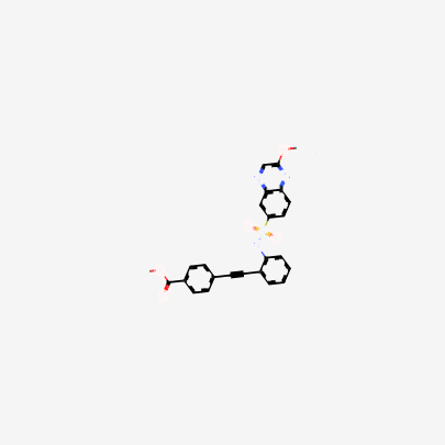 COC(=O)c1ccc(C#Cc2ccccc2NS(=O)(=O)c2ccc3nc(OC)cnc3c2)cc1